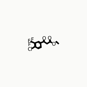 CCOC(=O)CC(=O)c1ccc(Cl)c(C(F)(F)F)c1